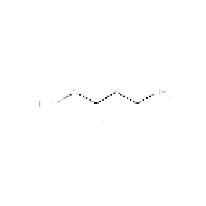 Cl.NCCCNC(=O)O